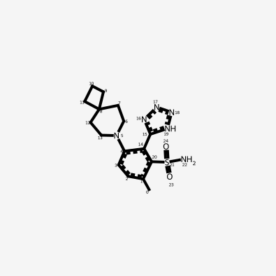 Cc1ccc(N2CCC3(CCC3)CC2)c(-c2nnn[nH]2)c1S(N)(=O)=O